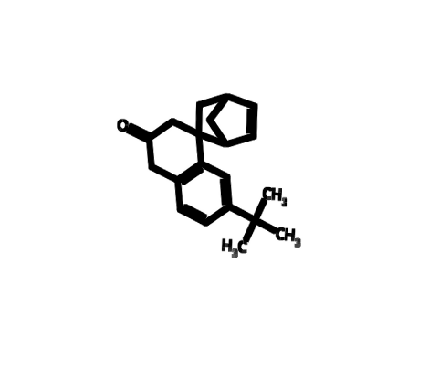 CC(C)(C)c1ccc2c(c1)C1(CC(=O)C2)CC2C=CC1C2